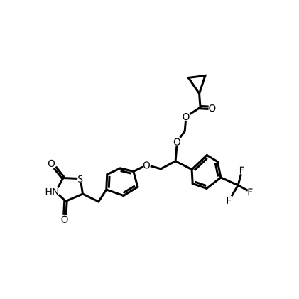 O=C1NC(=O)C(Cc2ccc(OCC(OCOC(=O)C3CC3)c3ccc(C(F)(F)F)cc3)cc2)S1